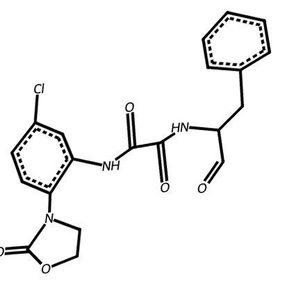 O=CC(Cc1ccccc1)NC(=O)C(=O)Nc1cc(Cl)ccc1N1CCOC1=O